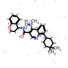 CN(C)c1c(C(=O)NC2CCOc3ccccc32)cnc2c(C3CCC(C)(C)CC3)cccc12